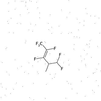 CC(C(F)=C(F)C(F)(F)F)C(F)F